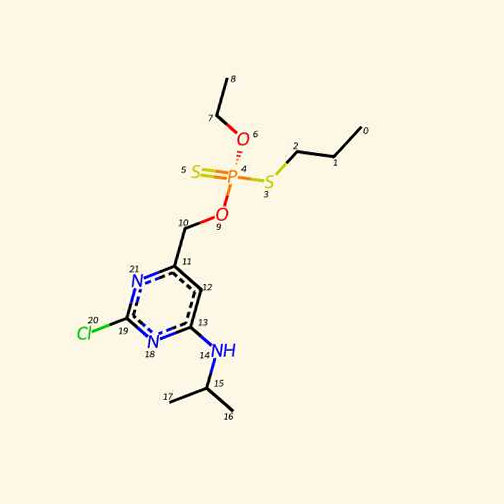 CCCS[P@@](=S)(OCC)OCc1cc(NC(C)C)nc(Cl)n1